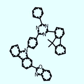 CC1(C)c2ccccc2-c2cccc(-c3nc(-c4ccccc4)nc(-c4ccc(-n5c6ccccc6c6ccc(-c7nc8ccccc8o7)cc65)cc4)n3)c21